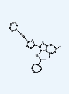 Cc1cc(C)n2c(NC(C)c3ccccc3)c(-c3ccc(C#Cc4ccccc4)s3)nc2c1